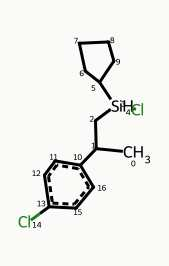 CC(C[SiH](Cl)C1CCCC1)c1ccc(Cl)cc1